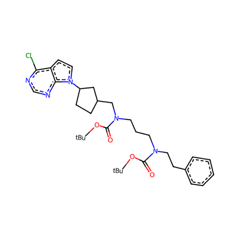 CC(C)(C)OC(=O)N(CCCN(CC1CCC(n2ccc3c(Cl)ncnc32)C1)C(=O)OC(C)(C)C)CCc1ccccc1